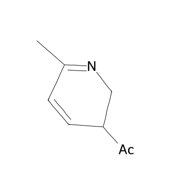 CC(=O)C1C=CC(C)=NC1